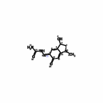 CN1CC(O)C2=C/C(=N\NC(N)=O)C(=O)C=C21